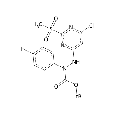 CC(C)(C)OC(=O)N(Nc1cc(Cl)nc(S(C)(=O)=O)n1)c1ccc(F)cc1